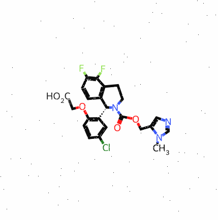 Cn1cncc1COC(=O)N1CCc2c(ccc(F)c2F)[C@H]1c1cc(Cl)ccc1OCC(=O)O